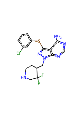 Nc1ncnc2c1c(Sc1cccc(Cl)c1)nn2CC1CCNCC1(F)F